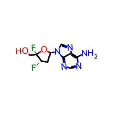 Nc1ncnc2c1ncn2[C@H]1C[C@H](F)[C@@](F)(CO)O1